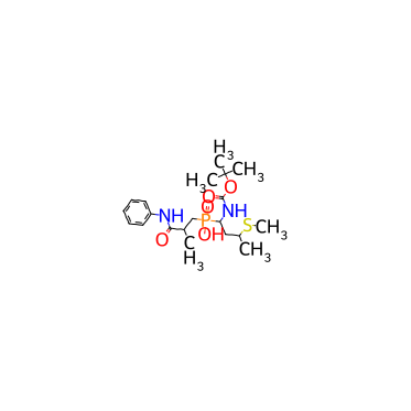 CSC(C)CC(NC(=O)OC(C)(C)C)P(=O)(O)CC(C)C(=O)Nc1ccccc1